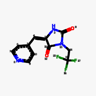 O=C1N/C(=C/c2ccncc2)C(=O)N1CC(F)(F)F